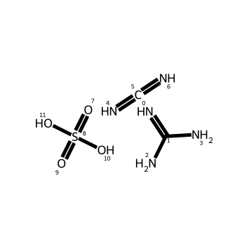 N=C(N)N.N=C=N.O=S(=O)(O)O